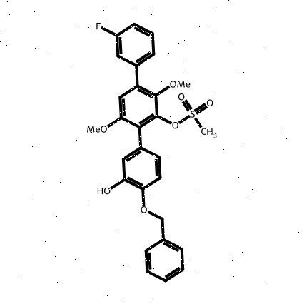 COc1cc(-c2cccc(F)c2)c(OC)c(OS(C)(=O)=O)c1-c1ccc(OCc2ccccc2)c(O)c1